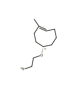 C/C1=C\CCC[C@H](OCC[18F])CC1